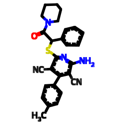 Cc1ccc(-c2c(C#N)c(N)nc(SC(C(=O)N3CCCCC3)c3ccccc3)c2C#N)cc1